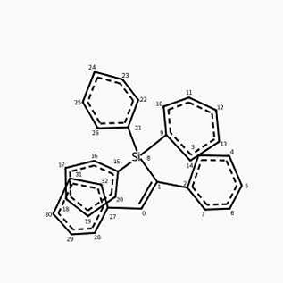 C(=C(c1ccccc1)[Si](c1ccccc1)(c1ccccc1)c1ccccc1)c1ccccc1